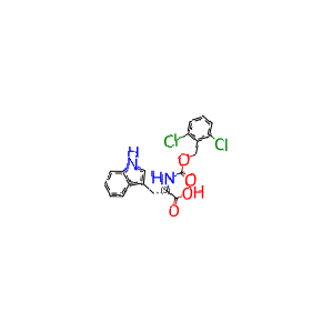 O=C(N[C@@H](Cc1c[nH]c2ccccc12)C(=O)O)OCc1c(Cl)cccc1Cl